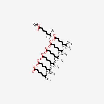 CC(C)CCCCC(=O)[O-].CC(C)CCCCC(=O)[O-].CC(C)CCCCC(=O)[O-].CC(C)CCCCC(=O)[O-].CC(C)CCCCC(=O)[O-].CC(C)CCCCC(=O)[O-].CC(C)CCCCC(=O)[O-].[Co+2].[V+5]